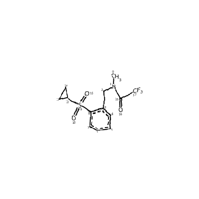 CN(Cc1ccccc1S(=O)(=O)C1CC1)C(=O)C(F)(F)F